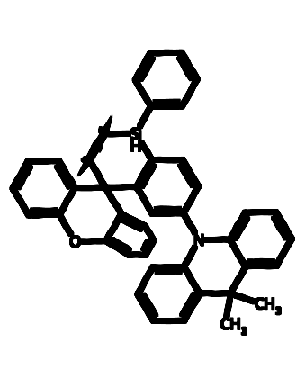 CC1(C)c2ccccc2N(c2ccc3c(c2)C2(c4ccccc4Oc4ccccc42)c2ccccc2[SiH]3c2ccccc2)c2ccccc21